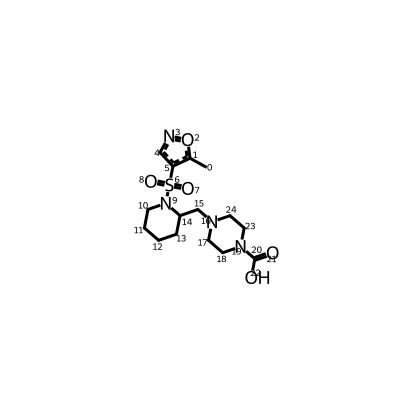 Cc1oncc1S(=O)(=O)N1CCCCC1CN1CCN(C(=O)O)CC1